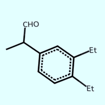 CCc1ccc(C(C)C=O)cc1CC